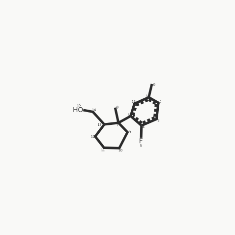 Cc1ccc(F)c(C2(C)CCCCC2CO)c1